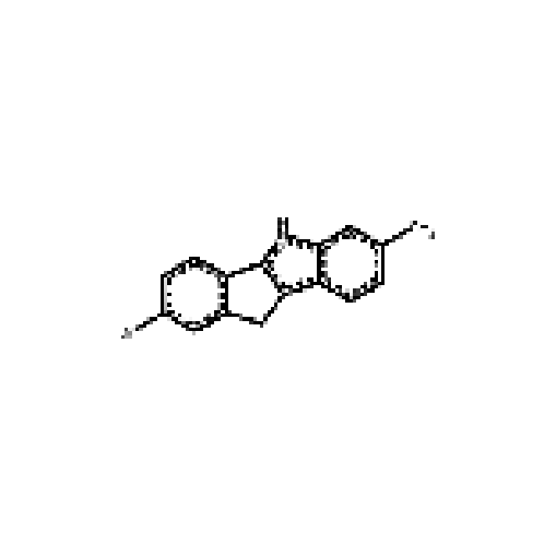 Cc1ccc2c3c([nH]c2c1)-c1ccc(Br)cc1C3